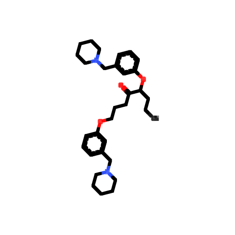 N#CCCC(Oc1cccc(CN2CCCCC2)c1)C(=O)CCCOc1cccc(CN2CCCCC2)c1